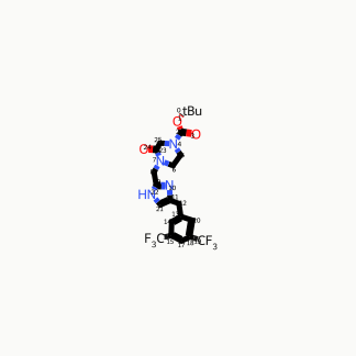 CC(C)(C)OC(=O)N1CCN(Cc2nc(Cc3cc(C(F)(F)F)cc(C(F)(F)F)c3)c[nH]2)C(=O)C1